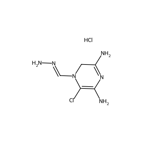 Cl.NN=CN1CC(N)=NC(N)=C1Cl